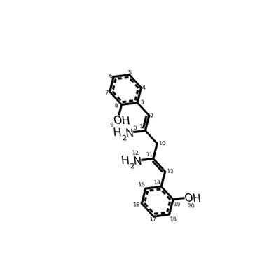 NC(=Cc1ccccc1O)CC(N)=Cc1ccccc1O